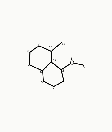 COC1CCCC2CCCC(C)C21